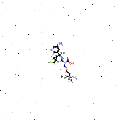 C[C@]1(c2cc(N)cnc2F)N=C(N(COCC[Si](C)(C)C)C(=O)O)SC2(CF)CC21